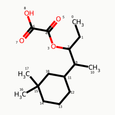 CCC(OC(=O)C(=O)O)C(C)C1CCCC(C)(C)C1